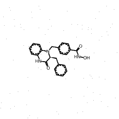 O=C(NO)c1ccc(CN2c3ccccc3NC(=O)[C@@H]2Cc2ccccc2)cc1